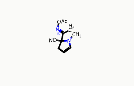 CC(=O)O/N=C(\C)C1(C#N)CC=CN1C